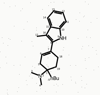 CCCCC1(N(C)C)CC=C(c2[nH]c3ccccc3c2C)CC1